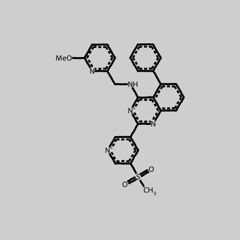 COc1cccc(CNc2nc(-c3cncc(S(C)(=O)=O)c3)nc3cccc(-c4ccccc4)c23)n1